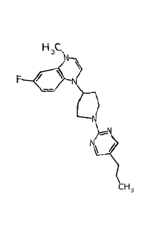 CCCc1cnc(N2CCC(N3C=CN(C)c4cc(F)ccc43)CC2)nc1